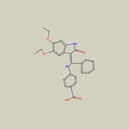 CCOc1cc2c(cc1OCC)C(=C(Nc1ccc(C(=O)O)cc1)c1ccccc1)C(=O)N2